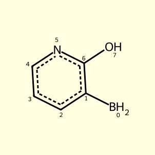 Bc1cccnc1O